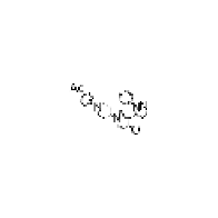 CC(=O)c1ccc(N2CCC(n3ccc(=O)c(-c4ccnn4-c4ccccc4)n3)CC2)s1